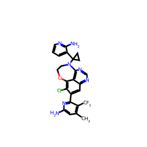 Cc1cc(N)nc(-c2cc3ncnc4c3c(c2Cl)OCCN4C2(c3cccnc3N)CC2)c1C(F)(F)F